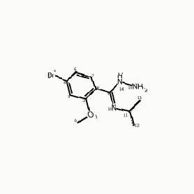 COc1cc(Br)ccc1C(=NC(C)C)NN